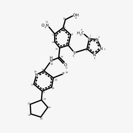 Cn1nnnc1Sc1cc(CO)c([N+](=O)[O-])cc1C(=O)Nc1ncc(C2CCCC2)cc1F